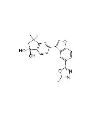 Cc1nnc(-c2ccc3occ(-c4ccc5c(c4)C(C)(C)CS5(O)O)c3c2)o1